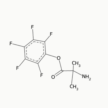 CC(C)(N)C(=O)Oc1c(F)c(F)c(F)c(F)c1F